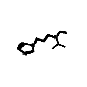 CCN(CCCn1ccnc1)C(C)C